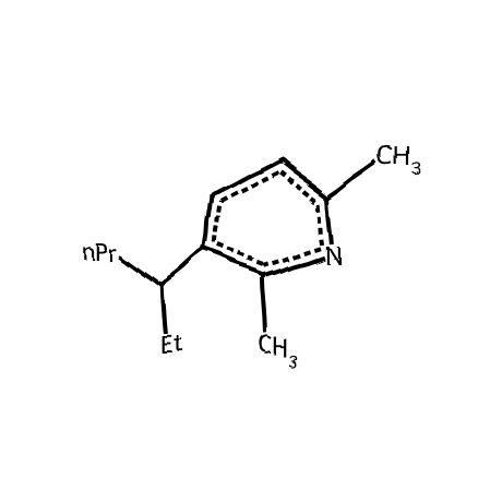 CCCC(CC)c1ccc(C)nc1C